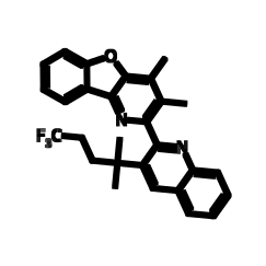 Cc1c(-c2nc3ccccc3cc2C(C)(C)CCC(F)(F)F)nc2c(oc3ccccc32)c1C